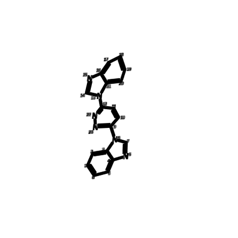 c1ccc2c(c1)ncn2-c1ccc(-n2cnc3ccccc32)nn1